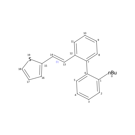 CCCCc1ccccc1-c1ccccc1/C=C/c1cccs1